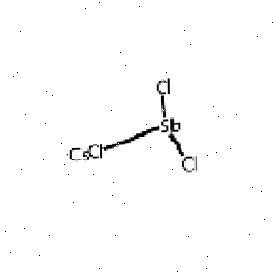 [Cl][Sb]([Cl])[Cl].[Cs]